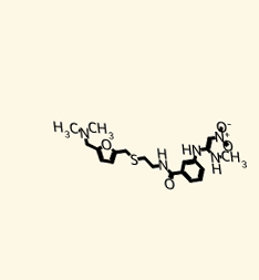 CNC(=C[N+](=O)[O-])Nc1cccc(C(=O)NCCSCc2ccc(CN(C)C)o2)c1